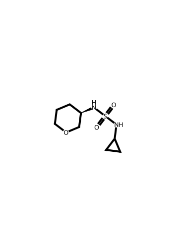 O=S(=O)(NC1CC1)N[C@@H]1CCCOC1